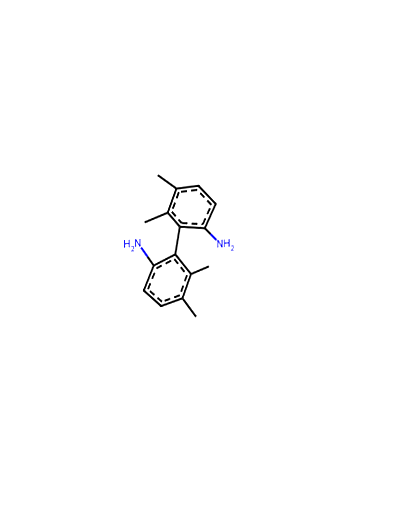 Cc1ccc(N)c(-c2c(N)ccc(C)c2C)c1C